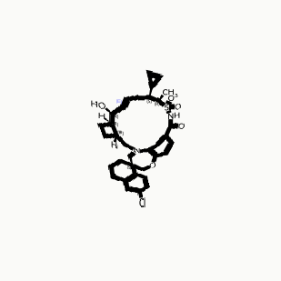 C[C@@H]1[C@H](C2CC2)C/C=C/[C@H](O)[C@@H]2CC[C@H]2CN2C[C@@]3(CCCc4cc(Cl)ccc43)COc3ccc(cc32)C(=O)NS1(=O)=O